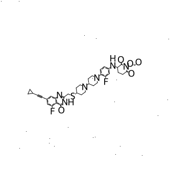 O=CON1C(=O)CCC(Nc2ccc(N3CCC(N4CCC(SCc5nc6cc(C#CC7CC7)cc(F)c6c(=O)[nH]5)CC4)CC3)c(F)c2)C1=O